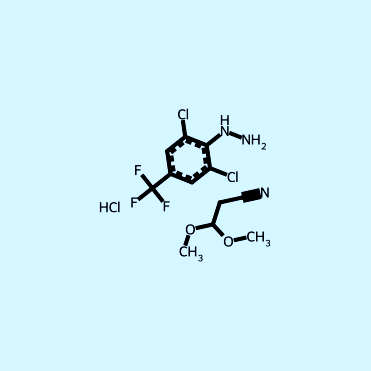 COC(CC#N)OC.Cl.NNc1c(Cl)cc(C(F)(F)F)cc1Cl